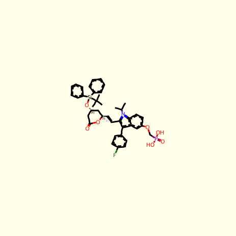 CC(C)n1c(/C=C/[C@@H]2C[C@@H](O[Si](c3ccccc3)(c3ccccc3)C(C)(C)C)CC(=O)O2)c(-c2ccc(F)cc2)c2cc(OCP(=O)(O)O)ccc21